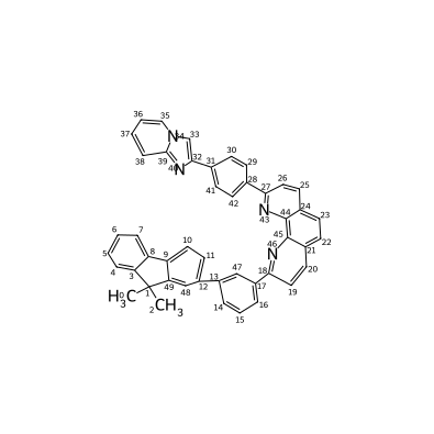 CC1(C)c2ccccc2-c2ccc(-c3cccc(-c4ccc5ccc6ccc(-c7ccc(-c8cn9ccccc9n8)cc7)nc6c5n4)c3)cc21